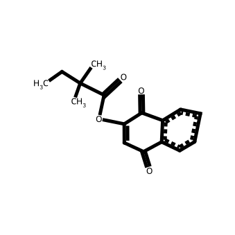 CCC(C)(C)C(=O)OC1=CC(=O)c2ccccc2C1=O